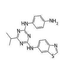 CC(C)c1nc(Nc2ccc(N)cc2)nc(Nc2ccc3ncsc3c2)n1